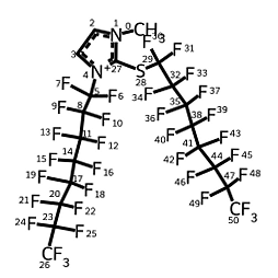 Cn1cc[n+](C(F)(F)C(F)(F)C(F)(F)C(F)(F)C(F)(F)C(F)(F)C(F)(F)C(F)(F)F)c1SC(F)(F)C(F)(F)C(F)(F)C(F)(F)C(F)(F)C(F)(F)C(F)(F)C(F)(F)F